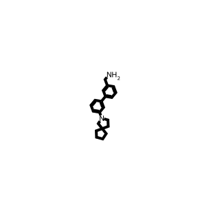 NCc1cccc(-c2cccc(N3CCC4(CCCC4)C3)c2)c1